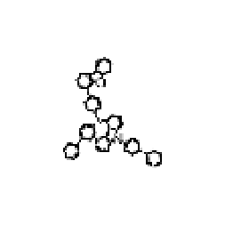 c1ccc(-c2ccc(N(c3ccc(-c4cccc5c4oc4ccccc45)cc3)c3cccc4c3c3ccccc3n4-c3ccc(-c4ccccc4)cc3)cc2)cc1